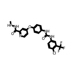 CPNC(=O)c1cc(Oc2ccc(NC(=O)Nc3ccc(Cl)c(C(F)(F)F)c3)cc2)ccn1